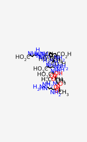 CC(=O)O.CC(=O)OC(C)=O.CC(COC(=O)[C@H](C)N)OC(=O)[C@@H](N)CCCNC(=N)N.C[C@H](N)C(=O)O.C[C@H](N)C(=O)O.N=C(N)NCCC[C@H](N)C(=O)O.N=C(N)NCCC[C@H](N)C(=O)O.N[C@@H](CO)C(=O)O.N[C@@H](Cc1ccccc1)C(=O)O